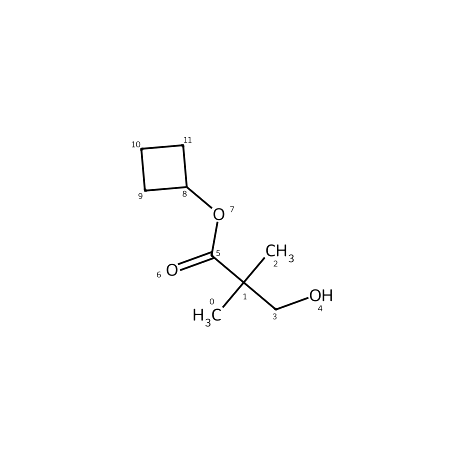 CC(C)(CO)C(=O)OC1CCC1